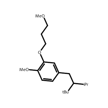 COCCCOc1cc(CC(C(C)C)C(C)(C)C)ccc1OC